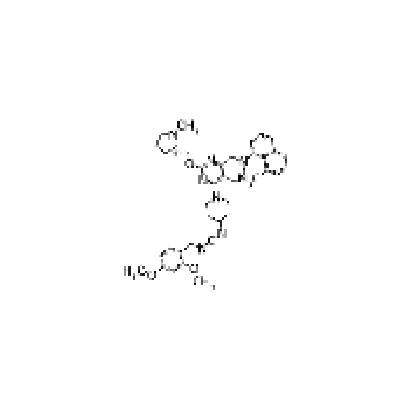 COc1ccc(CN=C=NC2CCN(c3nc(OC[C@@H]4CCCN4C)nc4c3CCN(c3cccc5cccc(C)c35)C4)CC2)c(OC)c1